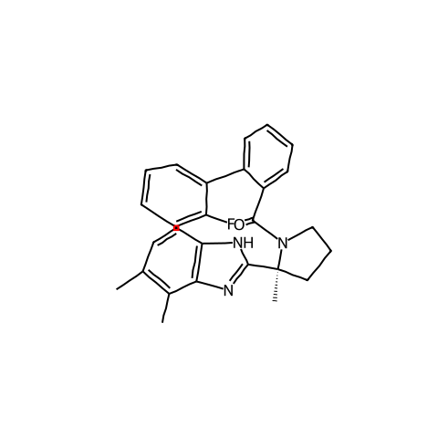 Cc1ccc2[nH]c([C@]3(C)CCCN3C(=O)c3ccccc3-c3ccccc3F)nc2c1C